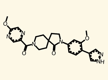 COc1cnc(C(=O)N2CCC3(CC2)CCN(c2ccc(-c4cn[nH]c4)c(OC)c2)C3=O)cn1